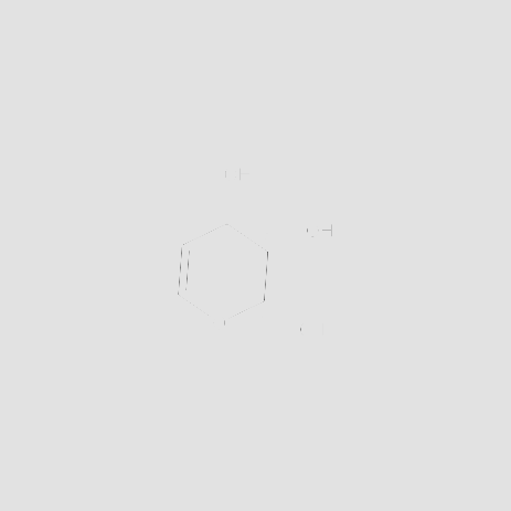 C[C@@H]1OC=C[C@H](O)[C@@H]1O